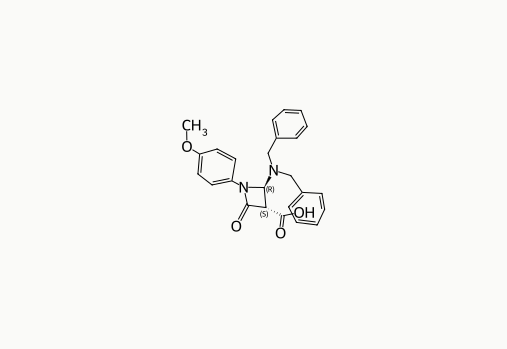 COc1ccc(N2C(=O)[C@@H](C(=O)O)[C@@H]2N(Cc2ccccc2)Cc2ccccc2)cc1